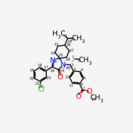 CC[C@H](c1ccc(C(=O)OC)cc1)N1C(=O)C(c2cccc(Cl)c2)=NC12CCC(C(C)C)CC2